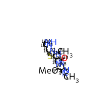 COCc1cn(C)nc1Cn1ncc2c3sc(Cc4cc[nH]n4)nc3n(C)c2c1=O